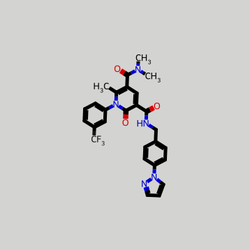 Cc1c(C(=O)N(C)C)cc(C(=O)NCc2ccc(-n3cccn3)cc2)c(=O)n1-c1cccc(C(F)(F)F)c1